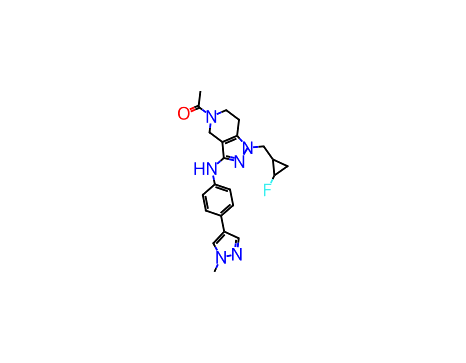 CC(=O)N1CCc2c(c(Nc3ccc(-c4cnn(C)c4)cc3)nn2CC2CC2F)C1